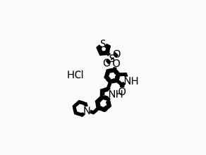 Cl.O=C1NCc2c(OS(=O)(=O)c3ccsc3)ccc(-c3cc4cc(CN5CCCCC5)ccc4[nH]3)c21